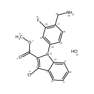 COC(=O)c1c(Cl)c2ccccc2n1-c1ccc(CN)c(F)c1.Cl